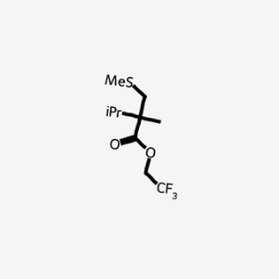 CSCC(C)(C(=O)OCC(F)(F)F)C(C)C